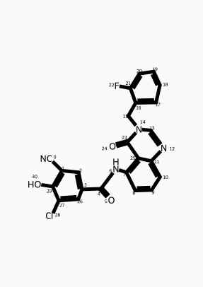 N#Cc1cc(C(=O)Nc2cccc3ncn(Cc4ccccc4F)c(=O)c23)cc(Cl)c1O